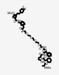 CNC(C)C(=O)NC(C(=O)N1CCCC1C(=O)Nc1sc(NC(=O)COCCOCCOCCOCCN(C)C(=O)Cc2cccc(CNC(=O)c3cc(C=CC4CCC(F)(F)CC4)c(OC)cn3)c2)nc1-c1ccccc1)C1CCCCC1